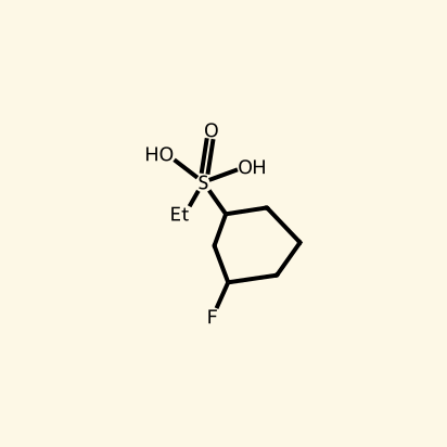 CCS(=O)(O)(O)C1CCCC(F)C1